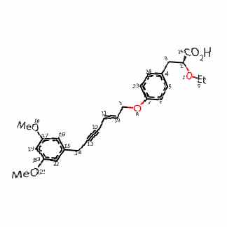 CCO[C@@H](Cc1ccc(OC/C=C/C#CCc2cc(OC)cc(OC)c2)cc1)C(=O)O